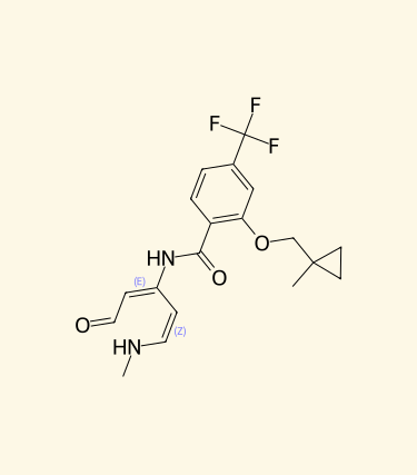 CN/C=C\C(=C/C=O)NC(=O)c1ccc(C(F)(F)F)cc1OCC1(C)CC1